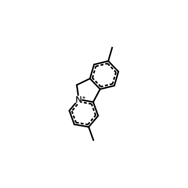 Cc1ccc2c(c1)C[n+]1ccc(C)cc1-2